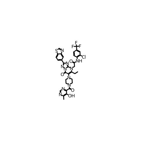 CCc1c(N2CCN(C(=O)c3ncnc(C)c3O)CC2)c(=O)n2nc(-c3ccc4scnc4c3)nc2n1CC(=O)Nc1ccc(C(F)(F)F)cc1Cl